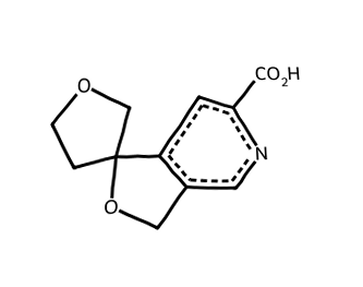 O=C(O)c1cc2c(cn1)COC21CCOC1